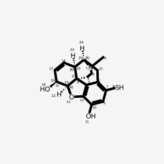 CN1CC[C@]23c4c5c(S)cc(O)c4O[C@H]2[C@@H](O)C=C[C@H]3[C@H]1C5